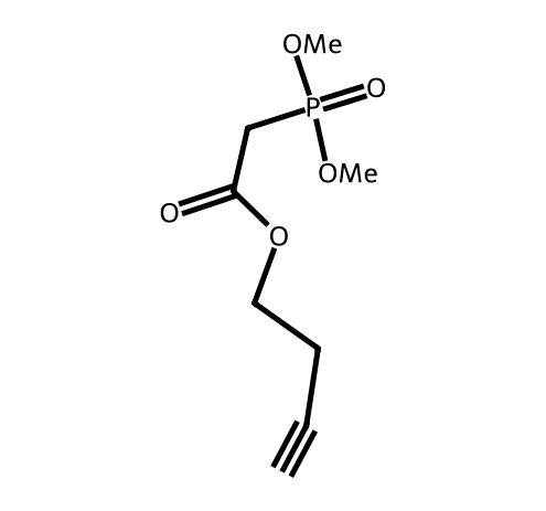 C#CCCOC(=O)CP(=O)(OC)OC